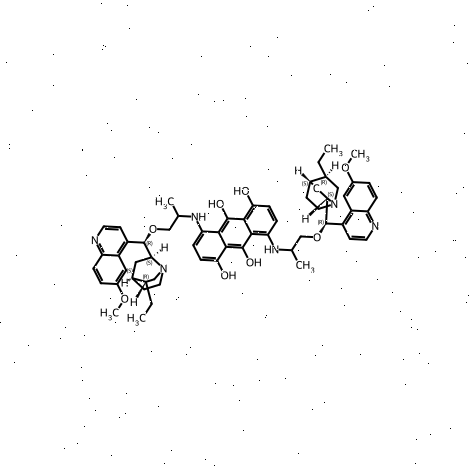 CC[C@H]1CN2CC[C@H]1C[C@H]2[C@H](OCC(C)Nc1ccc(O)c2c(O)c3c(NC(C)CO[C@H](c4ccnc5ccc(OC)cc45)[C@@H]4C[C@@H]5CCN4C[C@@H]5CC)ccc(O)c3c(O)c12)c1ccnc2ccc(OC)cc12